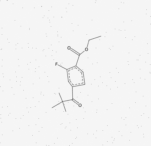 CCOC(=O)c1ccc(C(=O)C(C)(C)C)cc1F